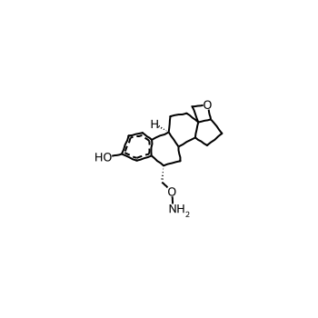 NOC[C@H]1CC2C3CCC4OCC43CC[C@@H]2c2ccc(O)cc21